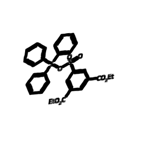 CCOC(=O)c1cc(C(=O)OCC)cc(S(=O)(=O)OS(c2ccccc2)(c2ccccc2)c2ccccc2)c1